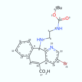 CC(C)(C)OC(=O)NCCNC1c2ccccc2C=C(C(=O)O)c2cc(Br)cnc21